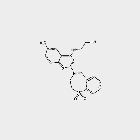 Cc1ccc2nc(N3CCS(=O)(=O)c4ccccc4C3)cc(NCCS)c2c1